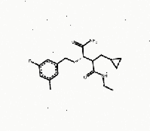 CCNC(=O)C(CC1CC1)[C@H](CCc1cc(F)cc(F)c1)C(N)=O